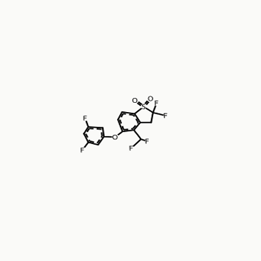 O=S1(=O)c2ccc(Oc3cc(F)cc(F)c3)c(C(F)F)c2CC1(F)F